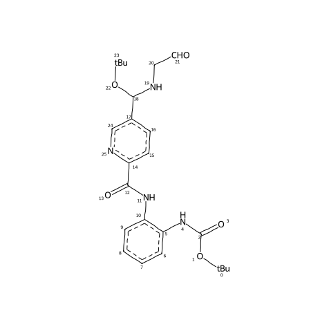 CC(C)(C)OC(=O)Nc1ccccc1NC(=O)c1ccc(C(NCC=O)OC(C)(C)C)cn1